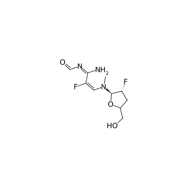 CN(/C=C(F)\C(N)=N/C=O)[C@@H]1OC(CO)C[C@H]1F